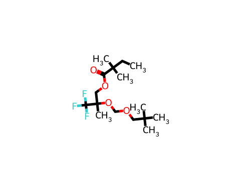 CCC(C)(C)C(=O)OCC(C)(OCOCC(C)(C)C)C(F)(F)F